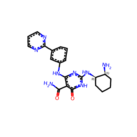 NC(=O)c1c(Nc2cccc(-c3ncccn3)c2)nc(N[C@@H]2CCCC[C@@H]2N)[nH]c1=O